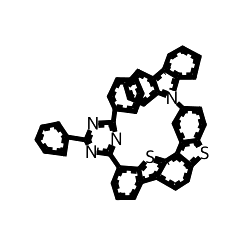 c1ccc(-c2nc(-c3ccccc3)nc(-c3cccc4c3sc3c4ccc4sc5ccc(-n6c7ccccc7c7ccccc76)cc5c43)n2)cc1